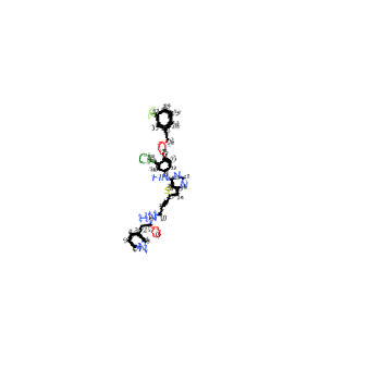 O=C(Cc1cccnc1)NCC#Cc1cc2ncnc(Nc3ccc(OCc4cccc(F)c4)c(Cl)c3)c2s1